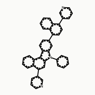 c1ccc(-n2c3cc(-c4ccc(-c5cccnc5)c5ccccc45)ccc3c3c4ccccc4c(-c4cccnc4)cc32)cc1